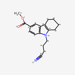 COC(=O)c1ccc2c(c1)c1c(n2CCCC#N)CCCC1